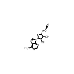 N#COC[C@H]1O[C@@H](n2cnc3c(N)ncnc32)[C@H](O)[C@@H]1O